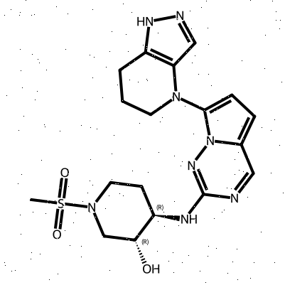 CS(=O)(=O)N1CC[C@@H](Nc2ncc3ccc(N4CCCc5[nH]ncc54)n3n2)[C@H](O)C1